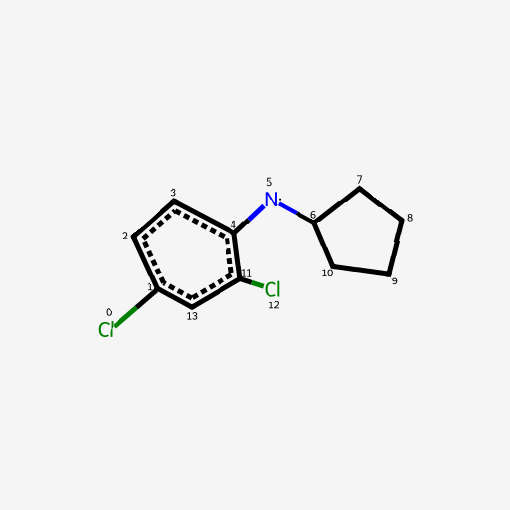 Clc1ccc([N]C2CCCC2)c(Cl)c1